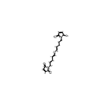 O=C1C=CC(=O)N1CCCC=COC=CCCCN1C(=O)C=CC1=O